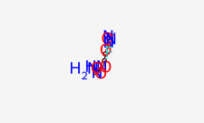 CC(C)c1noc(N2CCC(COc3ccc(C4=CCC(C(=O)NCCC(=O)N5CCCC5C(N)=O)CC4)cc3F)CC2)n1